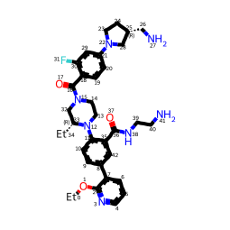 CCOc1ncccc1-c1ccc(N2CCN(C(=O)c3ccc(N4CC[C@H](CN)C4)cc3F)C[C@H]2CC)c(C(=O)NCCN)c1